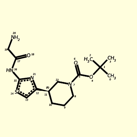 CC(C)(C)OC(=O)N1CCC[C@@H](c2csc(NC(=O)CN)n2)C1